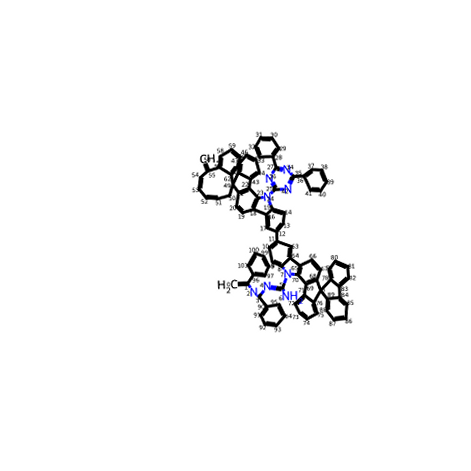 C=C(/N=C(\N=C(/N)n1c2ccc(-c3ccc4c(c3)c3ccc5c(c3n4-c3nc(-c4ccccc4)nc(-c4ccccc4)n3)-c3ccccc3C53C/C=C\C=C/C(=C)c4ccccc43)cc2c2ccc3c(c21)-c1ccccc1C31c2ccccc2-c2ccccc21)c1ccccc1)c1ccccc1